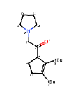 CC(C)(C)C1=C(C(C)(C)C)C(C(=O)CN2CCCC2)CC1